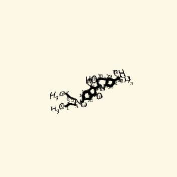 CCCCN(CCCC)C(=O)c1ccc2c(c1)C(=O)C(C1=Nc3ccc(C(C)C)cc3CC1O)C2=O